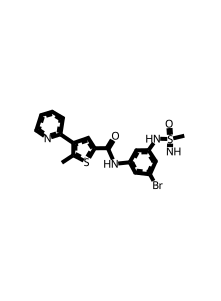 Cc1sc(C(=O)Nc2cc(Br)cc(NS(C)(=N)=O)c2)cc1-c1ccccn1